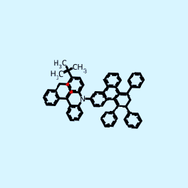 CC(C)(C)c1ccc(N(c2ccc3c4c(c5ccccc5c3c2)=C(c2ccccc2)CC(c2ccccc2)C=4c2ccccc2)c2ccccc2C2=CCCc3ccccc32)cc1